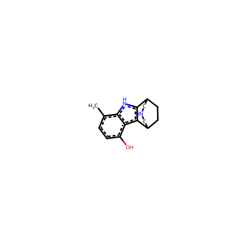 Cc1ccc(O)c2c3c([nH]c12)C1CCC3CNC1